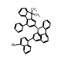 CC(C)(C)c1ccc(-c2cccc(N(c3cc(-c4ccccc4)c4c(c3)C(C)(C)c3ccccc3-4)c3ccccc3-c3ccccc3)c2)c2ccccc12